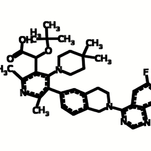 Cc1nc(C)c(C(OC(C)(C)C)C(=O)O)c(N2CCC(C)(C)CC2)c1-c1ccc2c(c1)CCN(c1ncnc3ccc(F)cc13)C2